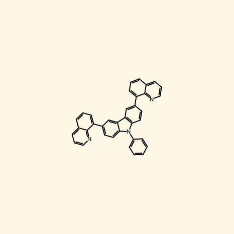 c1ccc(-n2c3ccc(-c4cccc5cccnc45)cc3c3cc(-c4cccc5cccnc45)ccc32)cc1